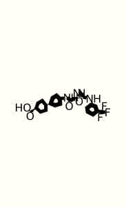 O=C(Nc1ccc([C@H]2CC[C@H](C(=O)O)CC2)cc1)c1nnc(Nc2cccc(C(F)(F)F)c2)o1